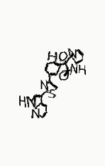 O=C1Nc2cccnc2C1(O)c1cccc(-c2csc(-c3c[nH]c4ncccc34)n2)c1